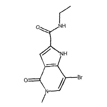 CCNC(=O)c1cc2c(=O)n(C)cc(Br)c2[nH]1